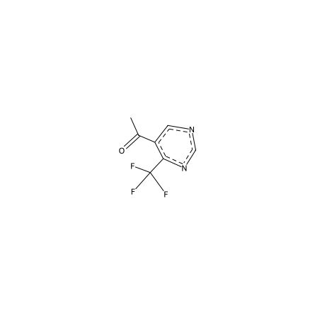 CC(=O)c1cncnc1C(F)(F)F